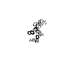 CONC(=O)c1cn(-c2ccc3c(c2)CCC3)c2nc(Nc3ccc4[nH]cnc4c3)ncc2c1=O